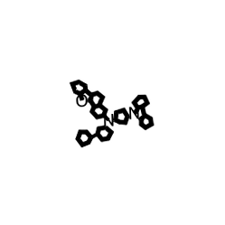 c1ccc(-c2cccc(N(c3ccc(-n4c5ccccc5c5ccccc54)cc3)c3ccc4c(ccc5c6ccccc6oc45)c3)c2)cc1